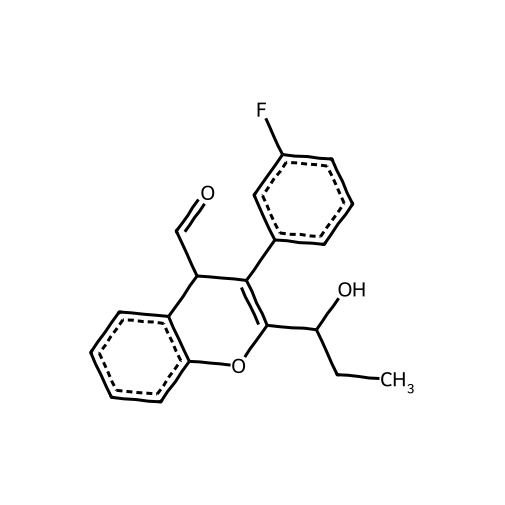 CCC(O)C1=C(c2cccc(F)c2)C(C=O)c2ccccc2O1